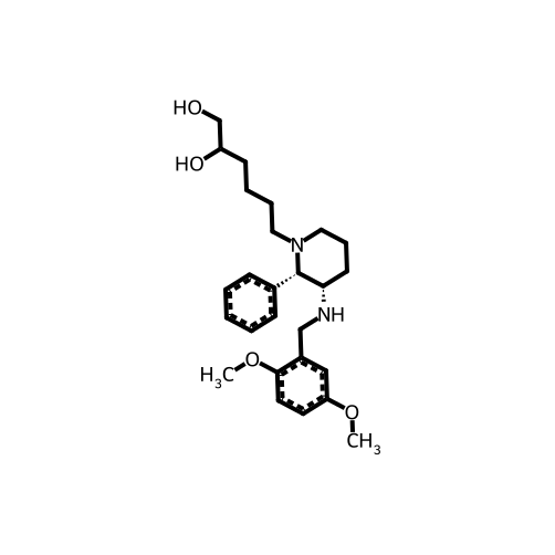 COc1ccc(OC)c(CN[C@H]2CCCN(CCCCC(O)CO)[C@H]2c2ccccc2)c1